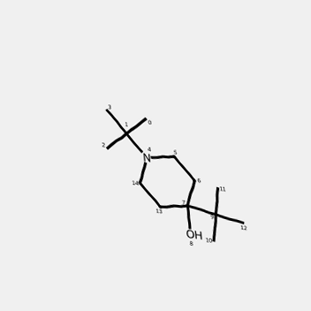 CC(C)(C)N1CCC(O)(C(C)(C)C)CC1